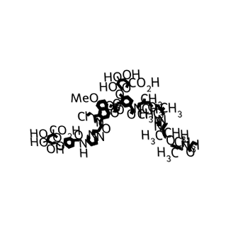 COc1ccc2c(OS(=O)(=O)Oc3cc(C(=O)N(C)CC(C)(C)COCC(C)(C)Cn4cc(C(C)(C)COCC(C)(C)CNC(=O)CI)nn4)ccc3O[C@@H]3O[C@H](C(=O)O)[C@@H](O)[C@H](O)[C@H]3O)cc3c(c2c1)[C@H](CCl)CN3C(=O)c1cn2cc(NC(=O)c3ccc(O[C@@H]4O[C@H](C(=O)O)[C@@H](O)[C@H](O)[C@H]4O)cc3)ccc2n1